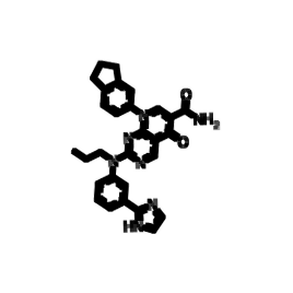 CCCN(c1cccc(-c2ncc[nH]2)c1)c1ncc2c(=O)c(C(N)=O)cn(-c3ccc4c(c3)CCC4)c2n1